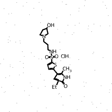 CCc1cc(-c2ccc(S(=O)(=O)NCCCN3CCC(O)C3)s2)c(C)[nH]c1=O.Cl